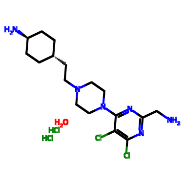 Cl.Cl.NCc1nc(Cl)c(Cl)c(N2CCN(CC[C@H]3CC[C@H](N)CC3)CC2)n1.O